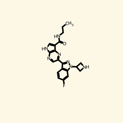 CCCNC(=O)c1c[nH]c2ncc(-c3nn(C4CNC4)c4cc(F)ccc34)nc12